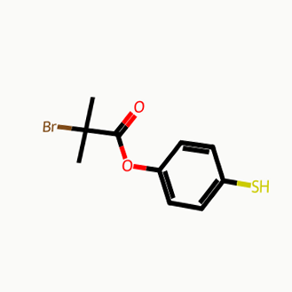 CC(C)(Br)C(=O)Oc1ccc(S)cc1